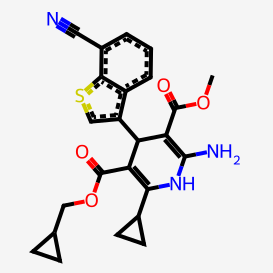 COC(=O)C1=C(N)NC(C2CC2)=C(C(=O)OCC2CC2)C1c1csc2c(C#N)cccc12